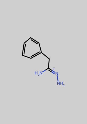 N/N=C(\N)Cc1ccccc1